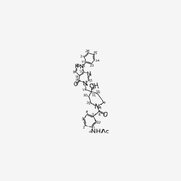 CC(=O)Nc1cccc(C(=O)N2CCC(O)(Cn3cnc4c(cnn4-c4ccccc4)c3=O)CC2)c1